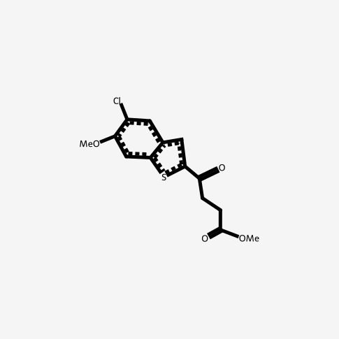 COC(=O)CCC(=O)c1cc2cc(Cl)c(OC)cc2s1